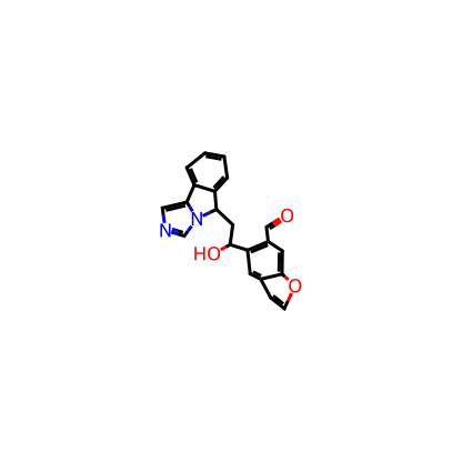 O=Cc1cc2occc2cc1C(O)CC1c2ccccc2-c2cncn21